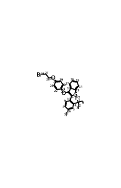 CC(F)(F)c1cc(F)ccc1-c1sc2ccccc2c1Oc1ccc(OCCBr)cc1